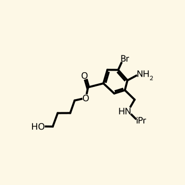 CC(C)NCc1cc(C(=O)OCCCCO)cc(Br)c1N